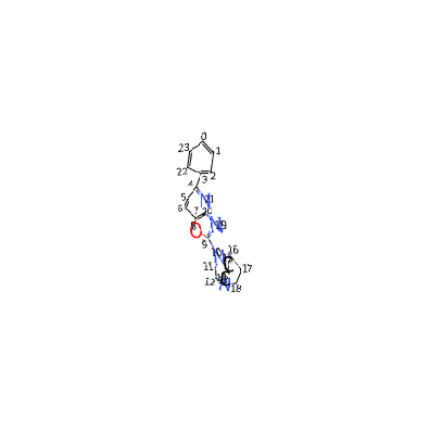 c1ccc(-c2ccc3oc(N4CCN5CCC4CC5)nc3n2)cc1